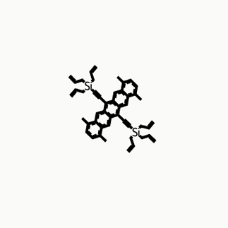 C=CC[Si](C#Cc1c2cc3c(C)ccc(C)c3cc2c(C#C[Si](CC=C)(CC=C)CC=C)c2cc3c(C)ccc(C)c3cc12)(CC=C)CC=C